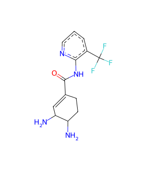 NC1C=C(C(=O)Nc2ncccc2C(F)(F)F)CCC1N